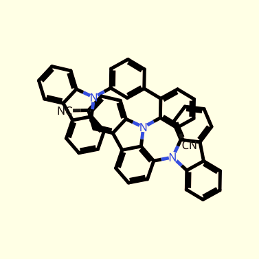 N#Cc1ccc2c(c1)c1cccc(-n3c4ccccc4c4ccccc43)c1n2-c1c(C#N)cccc1-c1cccc(-n2c3ccccc3c3ccccc32)c1